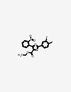 CCOC(=O)c1nc(-c2ccc(F)c(F)c2)oc1-c1ccccc1[N+](=O)[O-]